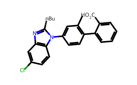 CCCCc1nc2cc(Cl)ccc2n1-c1ccc(-c2ccccc2C(=O)O)c(C)c1